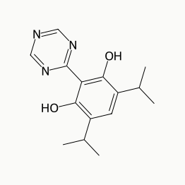 CC(C)c1cc(C(C)C)c(O)c(-c2ncncn2)c1O